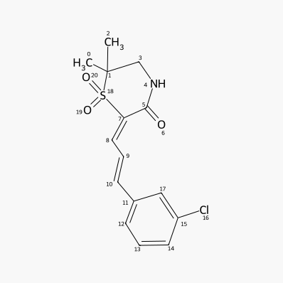 CC1(C)CNC(=O)/C(=C\C=C\c2cccc(Cl)c2)S1(=O)=O